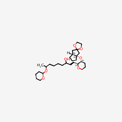 CC(CCCCC(O)C=C[C@@H]1OCCC[C@H]1O[C@]12CCC[C@@H]1CC1(C2)OCCO1)OC1CCCCO1